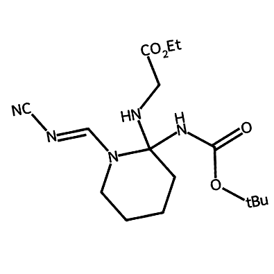 CCOC(=O)CNC1(NC(=O)OC(C)(C)C)CCCCN1C=NC#N